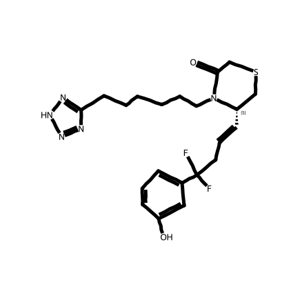 O=C1CSC[C@H](C=CCC(F)(F)c2cccc(O)c2)N1CCCCCCc1nn[nH]n1